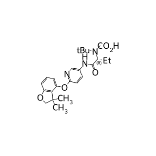 CC[C@H](C(=O)Nc1ccc(Oc2cccc3c2C(C)(C)CO3)nc1)N(C(=O)O)C(C)(C)C